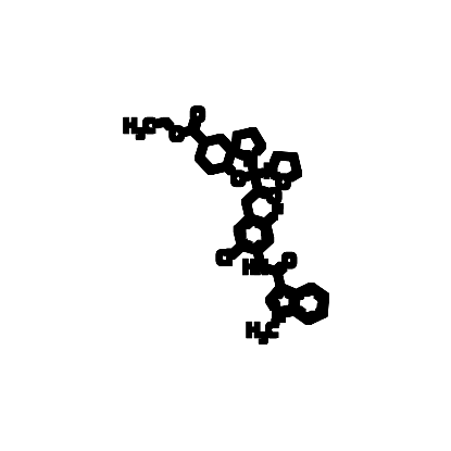 CCOC(=O)C1CCC(OC(C(=O)Cc2cc(Cl)c(NC(=O)c3cn(C)c4ccccc34)cc2F)(N2CCCC2)N2CCCO2)CC1